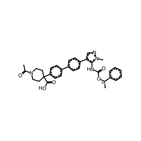 CC(=O)N1CCC(C(=O)O)(c2ccc(-c3ccc(-c4cnn(C)c4NC(=O)O[C@H](C)c4ccccc4)cc3)cc2)CC1